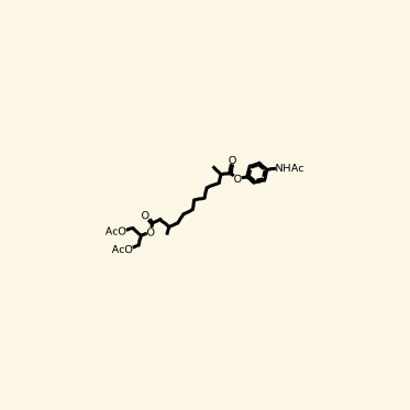 CC(=O)Nc1ccc(OC(=O)C(C)CCCCCCCC(C)CC(=O)OC(COC(C)=O)COC(C)=O)cc1